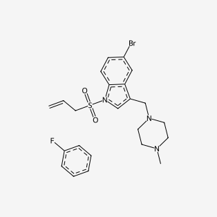 C=CCS(=O)(=O)n1cc(CN2CCN(C)CC2)c2cc(Br)ccc21.Fc1ccccc1